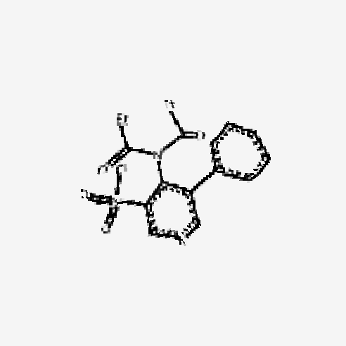 CCC(=O)N(C(=O)CC)c1c(-c2ccccc2)cncc1S(=O)(=O)Cl